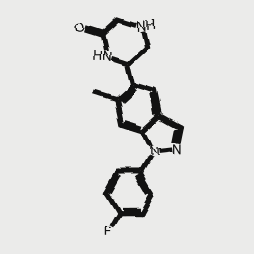 Cc1cc2c(cnn2-c2ccc(F)cc2)cc1C1CNCC(=O)N1